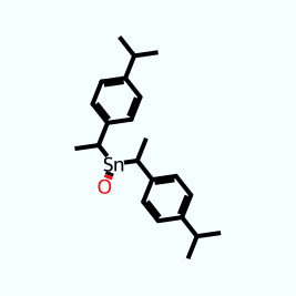 CC(C)c1ccc([CH](C)[Sn](=[O])[CH](C)c2ccc(C(C)C)cc2)cc1